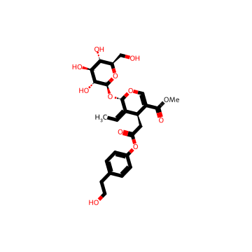 C/C=C1\[C@H](O[C@@H]2O[C@H](CO)[C@@H](O)[C@H](O)[C@H]2O)OC=C(C(=O)OC)[C@H]1CC(=O)Oc1ccc(CCO)cc1